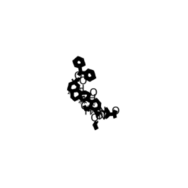 C=CCOC(=O)[C@]1(C)[C@@H](n2cc(C(C)=O)cn2)CC[C@@]2(C)[C@H]1CC[C@]1(C)[C@@H]2C(=O)C=C2[C@@H]3C[C@@](C)(C(=O)OC(c4ccccc4)c4ccccc4)CC[C@]3(C)CC[C@]21C